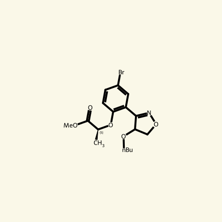 CCCCOC1CON=C1c1cc(Br)ccc1O[C@@H](C)C(=O)OC